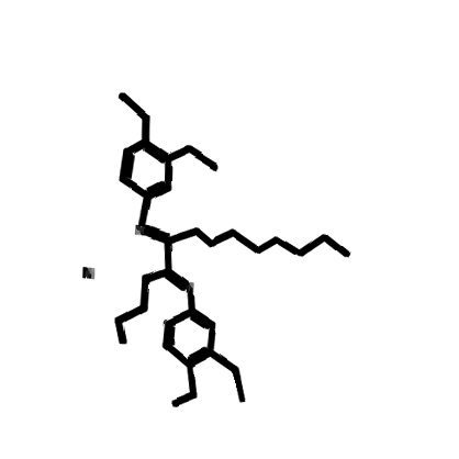 CCCCCCCCC(=Nc1ccc(CC)c(CC)c1)C(CCCC)=Nc1ccc(CC)c(CC)c1.[Ni]